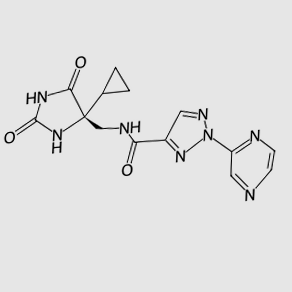 O=C1NC(=O)[C@](CNC(=O)c2cnn(-c3cnccn3)n2)(C2CC2)N1